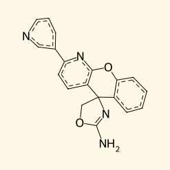 NC1=NC2(CO1)c1ccccc1Oc1nc(-c3cccnc3)ccc12